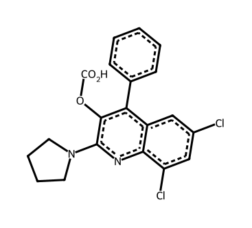 O=C(O)Oc1c(N2CCCC2)nc2c(Cl)cc(Cl)cc2c1-c1ccccc1